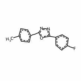 Cc1ccc(-c2nnc(-c3ccc(F)cc3)o2)cc1